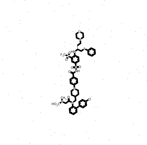 CN(CC(=O)N(CC1CCN(c2ccc(C(=O)NS(=O)(=O)c3ccc(N[C@H](CCN4CCOCC4)CSc4ccccc4)c(S(=O)(=O)C(F)(F)F)c3)cc2)CC1)c1ccccc1-c1ccc(Cl)cc1)C(=O)O